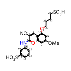 COc1ccc(C=C(C#N)C(=O)Nc2cccc(S(=O)(=O)O)c2)c(OCCCCS(=O)(=O)O)c1